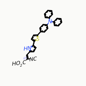 [C-]#[N+]/C(=C\c1ccc(-c2ccc(-c3ccc(N(c4ccccc4)c4ccccc4)cc3)s2)[nH]1)C(=O)O